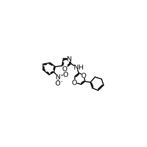 O=[N+]([O-])c1ccccc1-c1cnc(NC2=COC=C(C3=CC=CCC3)O2)o1